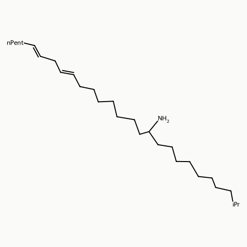 CCCCC/C=C/C/C=C/CCCCCCCC(N)CCCCCCCCC(C)C